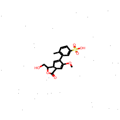 COC1=CC2C(=O)OC(CO)C2C=C1c1cc(S(=O)(=O)O)ccc1C